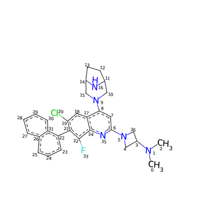 CN(C)C1CN(c2cc(N3CC4CCC(C3)N4)c3cc(Cl)c(-c4cccc5ccccc45)c(F)c3n2)C1